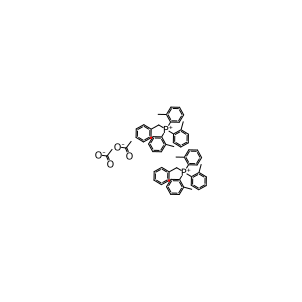 CC(=O)[O-].CC(=O)[O-].Cc1ccccc1[P+](Cc1ccccc1)(c1ccccc1C)c1ccccc1C.Cc1ccccc1[P+](Cc1ccccc1)(c1ccccc1C)c1ccccc1C